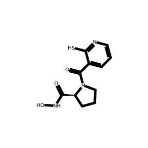 O=C(NO)[C@@H]1CCCN1C(=O)c1cccnc1S